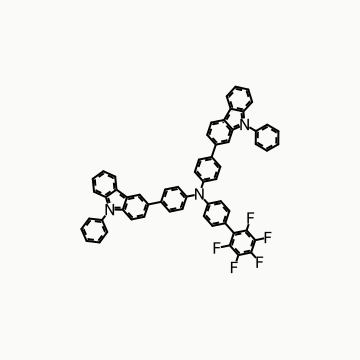 Fc1c(F)c(F)c(-c2ccc(N(c3ccc(-c4ccc5c(c4)c4ccccc4n5-c4ccccc4)cc3)c3ccc(-c4ccc5c6ccccc6n(-c6ccccc6)c5c4)cc3)cc2)c(F)c1F